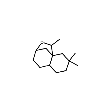 CC1OC2CCC3CCC(C)(C)CC31C2